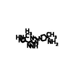 Cc1[nH]ncc1-c1n[nH]c2nc(N3CCC(C)(CN)CC3)cnc12